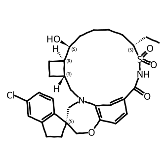 CC[C@H]1CCCC[C@H](O)[C@@H]2CC[C@H]2CN2C[C@@]3(CCc4cc(Cl)ccc43)COc3ccc(cc32)C(=O)NS1(=O)=O